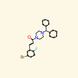 O=C(/C=C/c1cc(Br)ccc1F)N1CCN(C(c2ccccc2)c2ccccc2)CC1